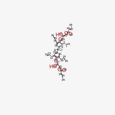 C=CCc1cc(C(C)(C)c2cc(CC=C)c(OCC(O)COC(=O)C=CC)c(CC=C)c2)cc(CC=C)c1OCC(O)COC(=O)C=CC